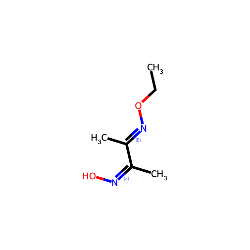 CCO/N=C(C)/C(C)=N\O